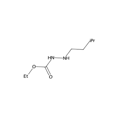 CCOC(=O)NNCCC(C)C